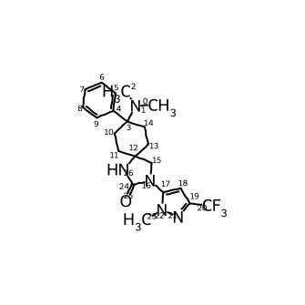 CN(C)C1(c2ccccc2)CCC2(CC1)CN(c1cc(C(F)(F)F)nn1C)C(=O)N2